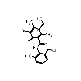 CCc1cccc(C)c1NC(=O)c1c(C)n(CC)c(C)c(Br)c1=O